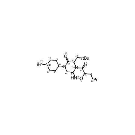 CC(C)CC1ONC2CN(C3CCN(C(C)C)CC3)C(=O)C(CC(C)(C)C)N2C1=O